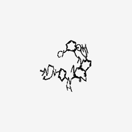 CN1CCN(c2ccc(Nc3ncc4ccc(=O)n(Cc5c(O)cccc5Cl)c4n3)cc2)CC1